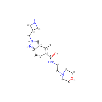 Cc1c(C(=O)NCCN2CCOCC2)ccc2nn(CC3CNC3)cc12